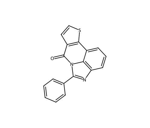 O=c1c2ccsc2c2cccc3nc(-c4ccccc4)n1c32